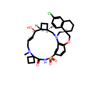 CN1C/C=C/[C@@H](O)[C@@H]2CC[C@H]2CN2C[C@@]3(CCCc4cc(Cl)ccc43)COc3ccc(cc32)S(=O)(=O)NC(=O)C12CCC2